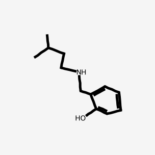 CC(C)CCNCc1ccccc1O